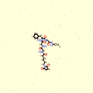 CCNC(=O)CNC(=O)[C@H](Cc1ccccc1)NC(=O)CNC(=O)CNC(=O)CCCCCN1C(=O)C=CC1=O